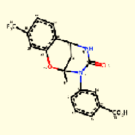 CC12CC(NC(=O)N1c1cccc(C(=O)O)c1)c1ccc(C(F)(F)F)cc1O2